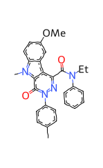 CCN(C(=O)c1nn(-c2ccc(C)cc2)c(=O)c2c1c1cc(OC)ccc1n2C)c1ccccc1